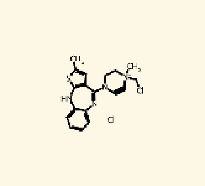 Cc1cc2c(s1)Nc1ccccc1N=C2N1C#C[N+](C)(CCl)CC1.[Cl-]